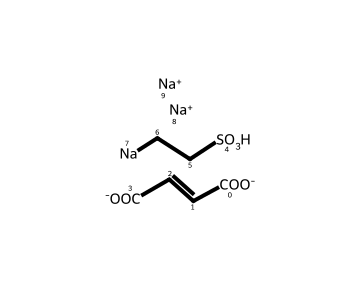 O=C([O-])C=CC(=O)[O-].O=S(=O)(O)C[CH2][Na].[Na+].[Na+]